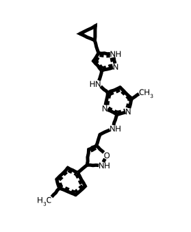 Cc1ccc(C2C=C(CNc3nc(C)cc(Nc4cc(C5CC5)[nH]n4)n3)ON2)cc1